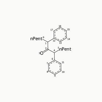 CCCCCC(C(=O)C(CCCCC)c1ccccc1)c1ccccc1